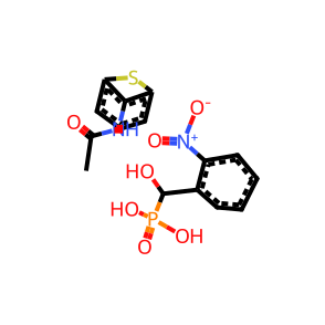 CC(=O)Nc1c2cccc1S2.O=[N+]([O-])c1ccccc1C(O)P(=O)(O)O